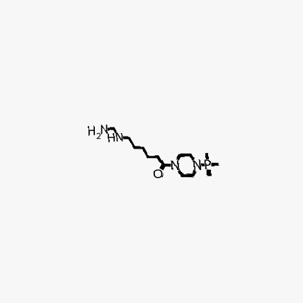 C=P(C)(C)N1CCN(C(=O)CCCCCNCN)CC1